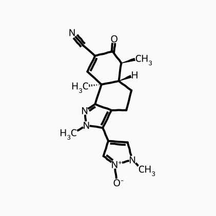 C[C@@H]1C(=O)C(C#N)=C[C@]2(C)c3nn(C)c(-c4cn(C)[n+]([O-])c4)c3CC[C@@H]12